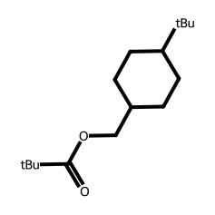 CC(C)(C)C(=O)OCC1CCC(C(C)(C)C)CC1